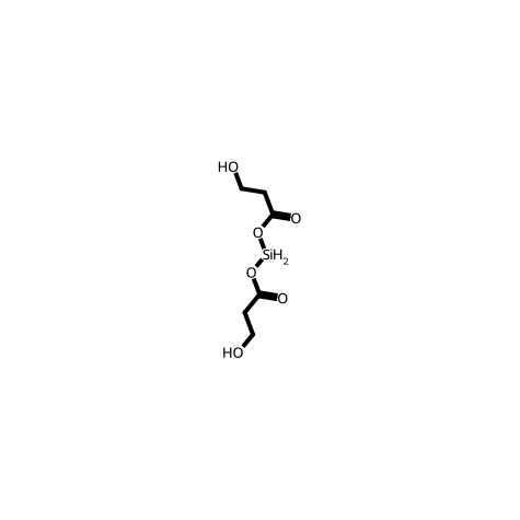 O=C(CCO)O[SiH2]OC(=O)CCO